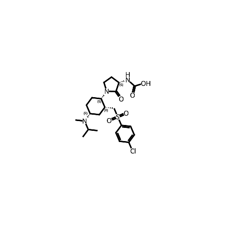 CC(C)N(C)[C@@H]1CC[C@H](N2CC[C@H](NC(=O)O)C2=O)[C@H](CS(=O)(=O)c2ccc(Cl)cc2)C1